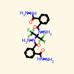 NNC(=O)c1ccccc1C(=O)N(N)C(N(N)C(=O)c1ccccc1C(=O)NN)(C(F)(F)F)C(F)(F)F